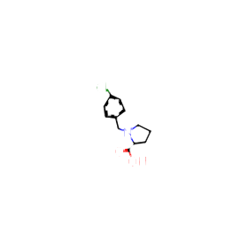 O=C(O)[C@@H]1CCCN1Cc1ccc(Cl)cc1